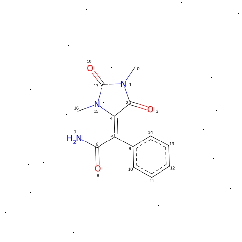 CN1C(=O)/C(=C(/C(N)=O)c2ccccc2)N(C)C1=O